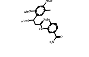 CCCCCC(CC(=O)Nc1cc(C(N)=O)ccc1C(C)(C)C)c1cc(C)c(OC)cc1OC